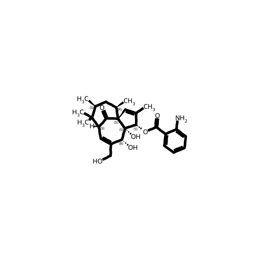 CC1=C[C@]23C(=O)[C@@H](C=C(CO)[C@@H](O)[C@]2(O)[C@H]1OC(=O)c1ccccc1N)C(C)(C)[C@@H](C)C[C@H]3C